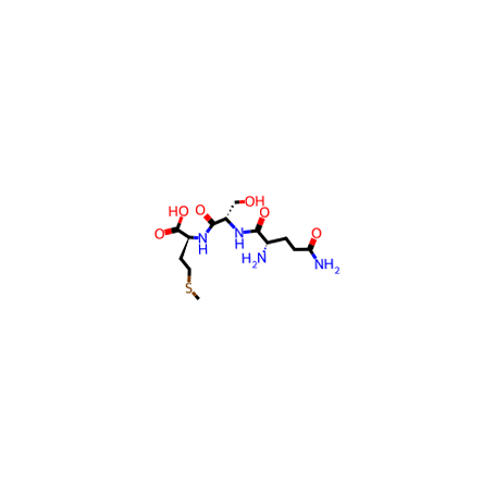 CSCC[C@H](NC(=O)[C@H](CO)NC(=O)[C@@H](N)CCC(N)=O)C(=O)O